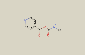 CCNC(=O)OC(=O)c1ccncc1